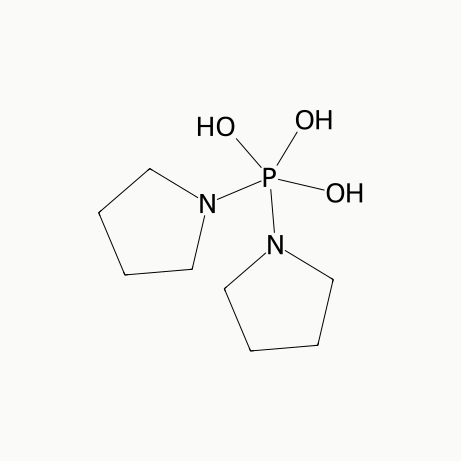 OP(O)(O)(N1CCCC1)N1CCCC1